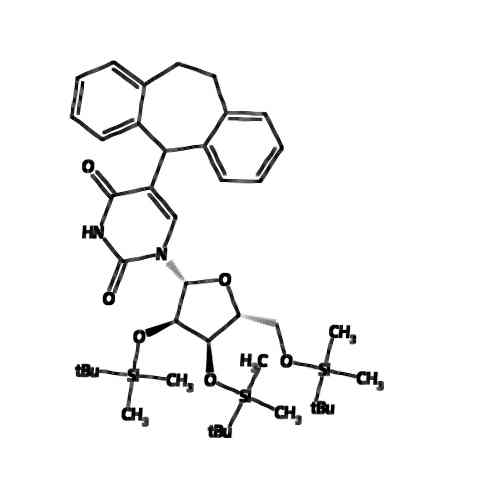 CC(C)(C)[Si](C)(C)OC[C@H]1O[C@@H](n2cc(C3c4ccccc4CCc4ccccc43)c(=O)[nH]c2=O)[C@H](O[Si](C)(C)C(C)(C)C)[C@@H]1O[Si](C)(C)C(C)(C)C